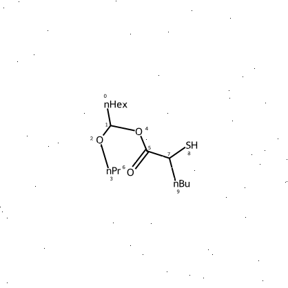 CCCCCCC(OCCC)OC(=O)C(S)CCCC